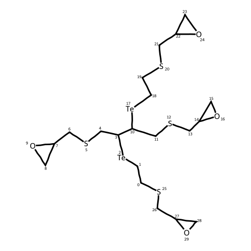 C(C[Te]C(CSCC1CO1)C(CSCC1CO1)[Te]CCSCC1CO1)SCC1CO1